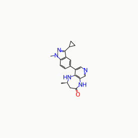 C[C@@H]1CC(=O)Nc2cncc(-c3ccc4c(c3)c(C3CC3)nn4C)c2N1